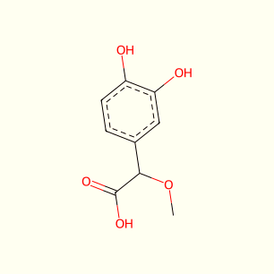 COC(C(=O)O)c1ccc(O)c(O)c1